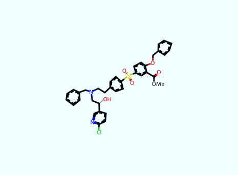 COC(=O)c1cc(S(=O)(=O)c2ccc(CCN(Cc3ccccc3)C[C@H](O)c3ccc(Cl)nc3)cc2)ccc1OCc1ccccc1